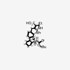 CCCN1NC(CC)C(C(=O)O)=C1Cc1ccc(-c2ccccc2S(=O)(=O)NC(=O)OC(C)(C)C)cc1